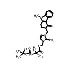 Cc1n(CC2CCc3c(c4ccccc4n3C)C2=O)cc[n+]1COC(=O)C(C)(C)NC(=O)OC(C)(C)C